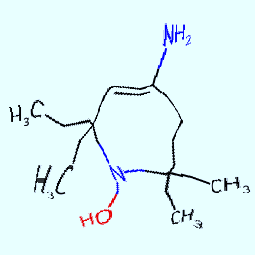 CC1(C)C=C(N)CC(C)(C)N1O